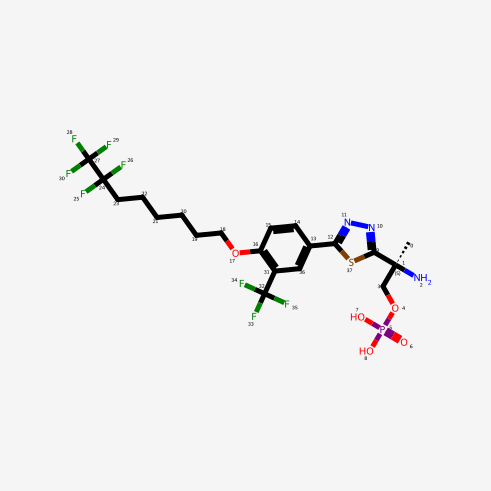 C[C@](N)(COP(=O)(O)O)c1nnc(-c2ccc(OCCCCCCC(F)(F)C(F)(F)F)c(C(F)(F)F)c2)s1